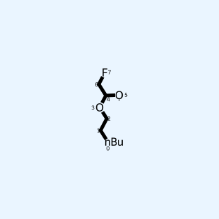 CCCCCCOC([O])CF